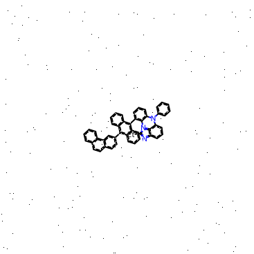 CCc1nc2cccc3c2n1-c1c(-c2c4ccccc4c(-c4ccc5ccc6ccccc6c5c4)c4ccccc24)cccc1N3c1ccccc1